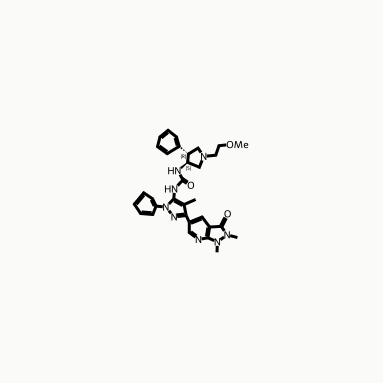 COCCN1C[C@@H](NC(=O)Nc2c(C)c(-c3cnc4c(c3)c(=O)n(C)n4C)nn2-c2ccccc2)[C@H](c2ccccc2)C1